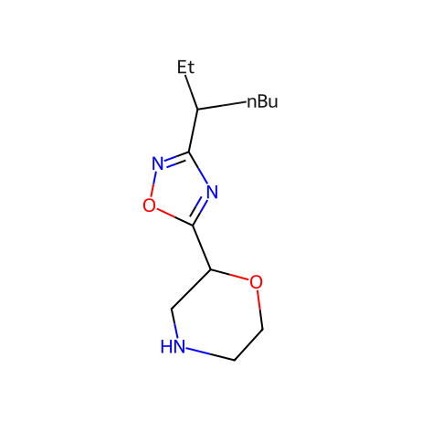 CCCCC(CC)c1noc(C2CNCCO2)n1